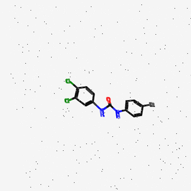 CCc1ccc(NC(=O)Nc2ccc(Cl)c(Cl)c2)cc1